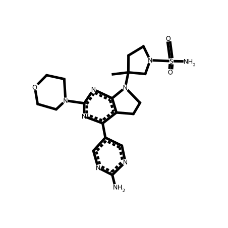 CC1(N2CCc3c(-c4cnc(N)nc4)nc(N4CCOCC4)nc32)CCN(S(N)(=O)=O)C1